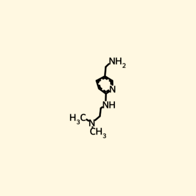 CN(C)CCNc1ccc(CN)cn1